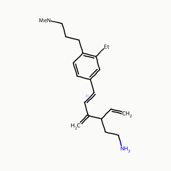 C=CC(CCN)C(=C)/C=C/c1ccc(CCCNC)c(CC)c1